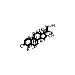 C[C@H]1C[C@H]2[C@@H]3C[C@H](F)C4=C(F)C(=O)C=C[C@]4(C)[C@]34OC4C[C@]2(C)[C@@]1(O)C(=O)CO